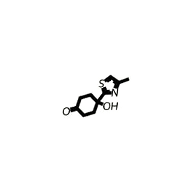 Cc1csc(C2(O)CCC(=O)CC2)n1